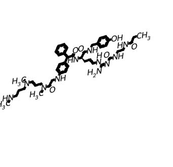 CCC(=O)NCCNC(=O)/N=C(/N)NCCC[C@@H](NC(=O)C(c1ccccc1)c1ccc(NCC(=O)N(C)CCCN(C)CCCNC)cc1)C(=O)NCc1ccc(O)cc1